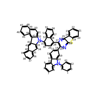 c1ccc(-n2c3ccccc3c3ccc(-c4nc5sc6ccccc6c5nc4-c4ccc(-n5c6cc7ccccc7cc6c6c7ccccc7ccc65)c5ccccc45)cc32)cc1